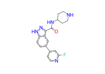 O=C(NC1CCNCC1)c1n[nH]c2ccc(-c3ccnc(F)c3)cc12